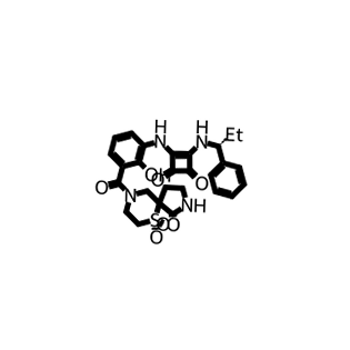 CC[C@@H](Nc1c(Nc2cccc(C(=O)N3CCS(=O)(=O)C4(CCNC4=O)C3)c2O)c(=O)c1=O)c1ccccc1